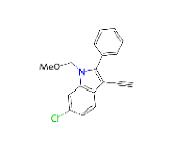 C#Cc1c(-c2ccccc2)n(COC)c2cc(Cl)ccc12